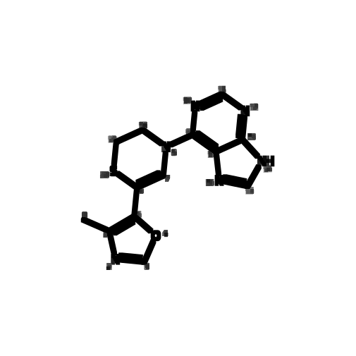 Cc1ncoc1C1=CN(c2ncnc3[nH]cnc23)CCS1